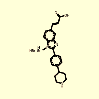 Br.Br.Cn1c(-c2ccc(C3CCNCC3)cc2)nc2cc(C=CC(=O)O)ccc21